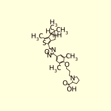 Cc1cc(-c2noc(-c3sc(C)c4c3C[C@@H]3[C@H]4C3(C)C)n2)cc(C)c1OCCCN1CCCC1C(=O)O